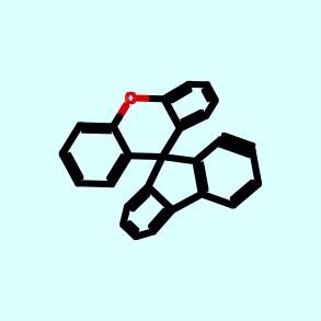 c1ccc2c(c#1)C1(c3ccccc3Oc3ccccc31)c1ccccc1-2